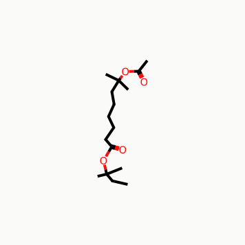 CCC(C)(C)OC(=O)CCCCCC(C)(C)OC(C)=O